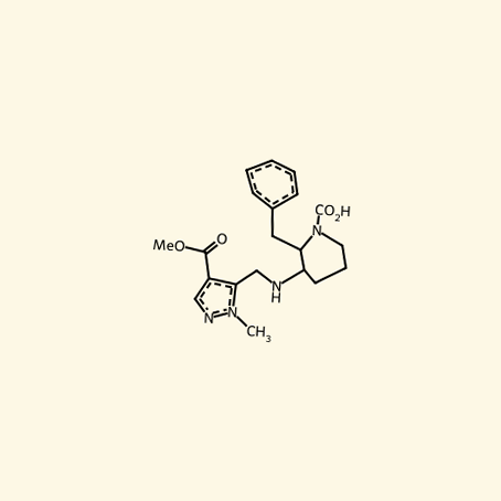 COC(=O)c1cnn(C)c1CNC1CCCN(C(=O)O)C1Cc1ccccc1